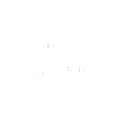 CCCN(c1ccccc1)P(=O)(Oc1ccccc1C)Sc1ccccc1C